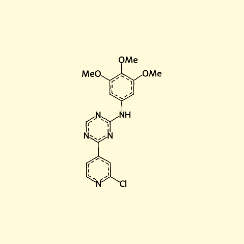 COc1cc(Nc2ncnc(-c3ccnc(Cl)c3)n2)cc(OC)c1OC